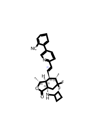 C[C@H]1OC(=O)[C@]2(NC3CCC3)CC(F)(F)[C@@H](C)[C@H](/C=C/c3ccc(-c4ccccc4C#N)cn3)[C@H]12